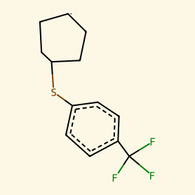 FC(F)(F)c1ccc(SC2CC[CH]CC2)cc1